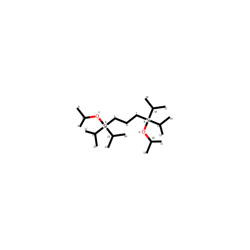 CC(C)O[Si](CCC[Si](OC(C)C)(C(C)C)C(C)C)(C(C)C)C(C)C